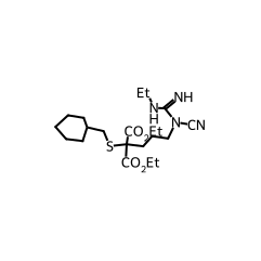 CCNC(=N)N(C#N)CCCC(SCC1CCCCC1)(C(=O)OCC)C(=O)OCC